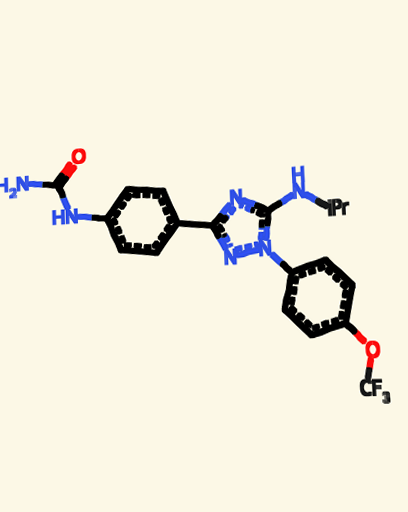 CC(C)Nc1nc(-c2ccc(NC(N)=O)cc2)nn1-c1ccc(OC(F)(F)F)cc1